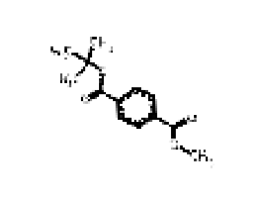 COC(=O)c1ccc(C(=O)OC(C)(C)C)cc1